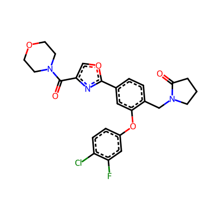 O=C1CCCN1Cc1ccc(-c2nc(C(=O)N3CCOCC3)co2)cc1Oc1ccc(Cl)c(F)c1